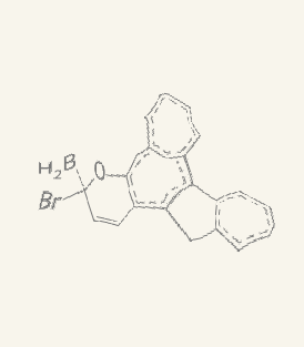 BC1(Br)C=Cc2c3c(c4ccccc4c2O1)-c1ccccc1C3